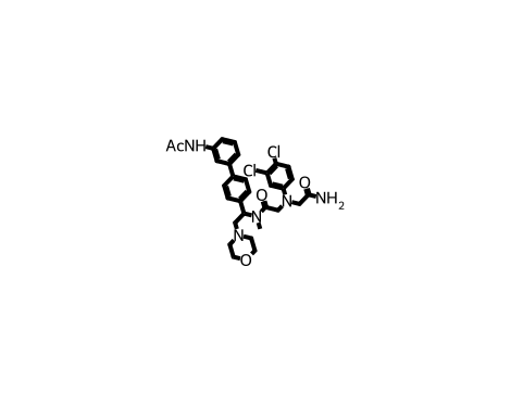 CC(=O)Nc1cccc(-c2ccc(C(CN3CCOCC3)N(C)C(=O)CN(CC(N)=O)c3ccc(Cl)c(Cl)c3)cc2)c1